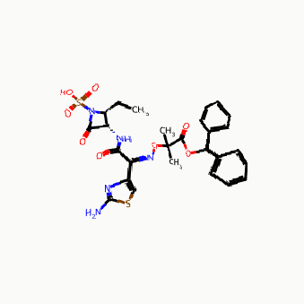 CC[C@H]1[C@H](NC(=O)C(=NOC(C)(C)C(=O)OC(c2ccccc2)c2ccccc2)c2csc(N)n2)C(=O)N1S(=O)(=O)O